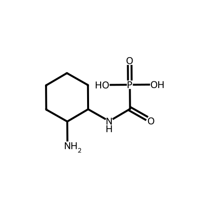 NC1CCCCC1NC(=O)P(=O)(O)O